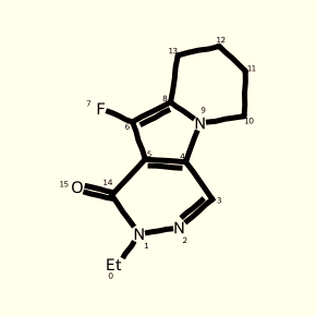 CCn1ncc2c(c(F)c3n2CCCC3)c1=O